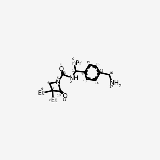 CCCC(NC(=O)N1[CH]C(CC)(CC)C1=O)c1ccc(CN)cc1